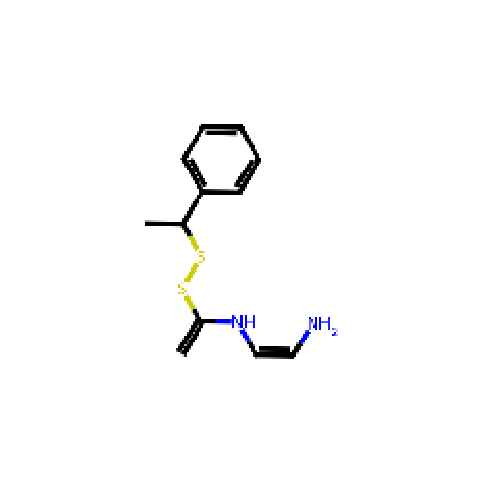 C=C(N/C=C\N)SSC(C)c1ccccc1